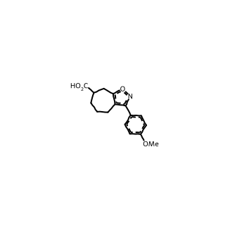 COc1ccc(-c2noc3c2CCCC(C(=O)O)C3)cc1